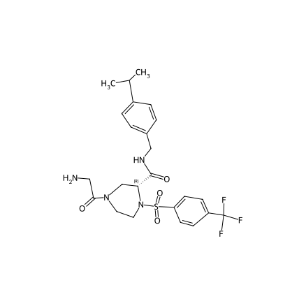 CC(C)c1ccc(CNC(=O)[C@H]2CN(C(=O)CN)CCN2S(=O)(=O)c2ccc(C(F)(F)F)cc2)cc1